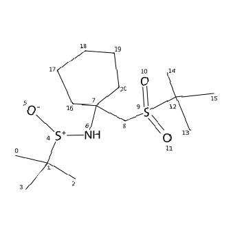 CC(C)(C)[S+]([O-])NC1(CS(=O)(=O)C(C)(C)C)CCCCC1